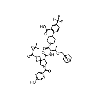 C[C@@H](OCC12CCC(CC1)OC2)[C@H](NC(=O)[C@@H]1CN(C(=O)c2cnc(O)cn2)CC12CN(C(=O)[C@H]1CC1(C)C)C2)C(=O)N1CCC(c2ccc(C(F)(F)F)cc2C(=O)O)CC1